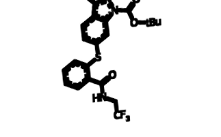 CC(C)(C)OC(=O)n1nc(I)c2ccc(Sc3ccccc3C(=O)NCC(F)(F)F)cc21